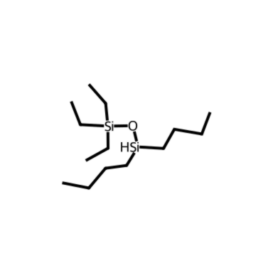 CCCC[SiH](CCCC)O[Si](CC)(CC)CC